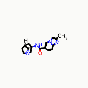 Cc1cn2cc(C(=O)N[C@@H]3C[C@H]4CCN(C4)C3)ccc2n1